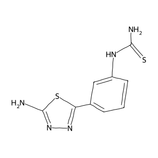 NC(=S)Nc1cccc(-c2nnc(N)s2)c1